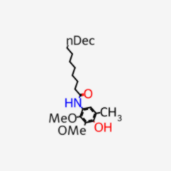 CCCCCCCCCCCCCCCCCC(=O)Nc1cc(C)c(O)c(OC)c1OC